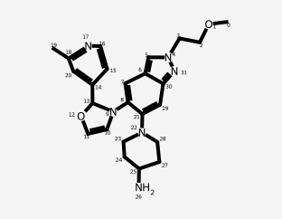 COCCn1cc2cc(N3C=COC3c3ccnc(C)c3)c(N3CCC(N)CC3)cc2n1